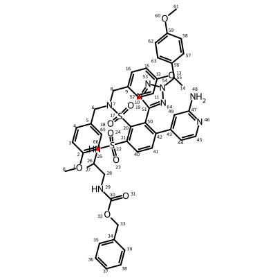 COc1ccc(CN(Cc2ccc(OC)cc2)S(=O)(=O)c2c(S(=O)(=O)NC(C)CNC(=O)OCc3ccccc3)ccc(-c3ccnc(N)c3)c2-c2nnn(Cc3ccc(OC)cc3)n2)cc1